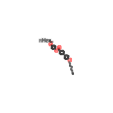 C=CCCCCCCOc1ccc(-c2ccc(C(=O)Oc3ccc(OC(C)CCCCCC)cc3)cc2)cc1